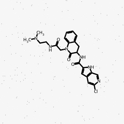 CN(C)CCNC(=O)CN1C(=O)C(NC(=O)c2cc3cc(Cl)ncc3[nH]2)Cc2ccccc21